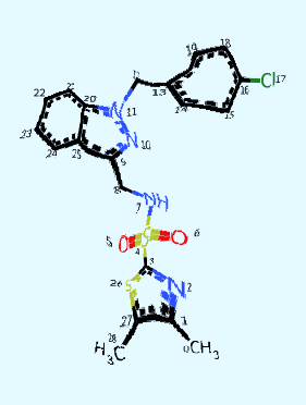 Cc1nc(S(=O)(=O)NCc2nn(Cc3ccc(Cl)cc3)c3ccccc23)sc1C